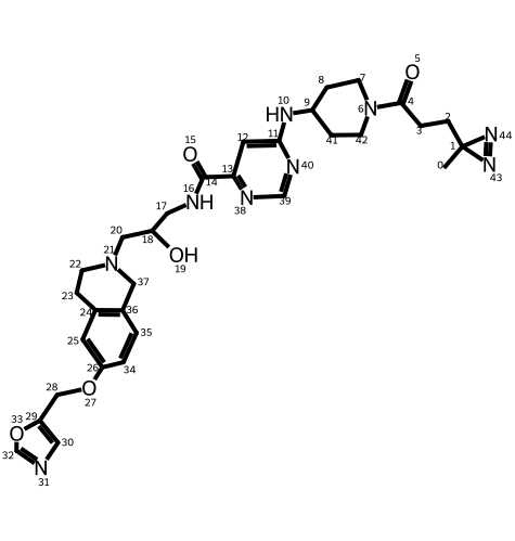 CC1(CCC(=O)N2CCC(Nc3cc(C(=O)NCC(O)CN4CCc5cc(OCc6cnco6)ccc5C4)ncn3)CC2)N=N1